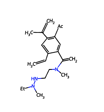 C=Cc1cc(C(=C)C)c(C(C)=O)cc1C(=C)N(C)CCNN(C)CC